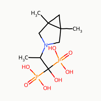 CC(N1CC2(C)CC2(C)C1)C(O)(P(=O)(O)O)P(=O)(O)O